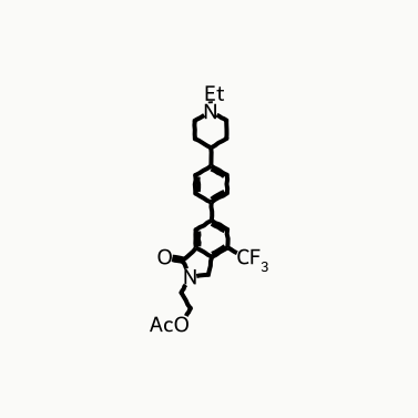 CCN1CCC(c2ccc(-c3cc4c(c(C(F)(F)F)c3)CN(CCOC(C)=O)C4=O)cc2)CC1